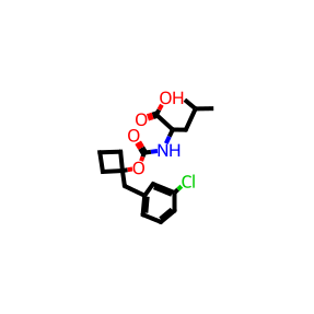 CC(C)CC(NC(=O)OC1(Cc2cccc(Cl)c2)CCC1)C(=O)O